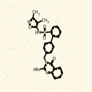 CCCCc1nc2ccccc2c(=O)n1Cc1ccc(-c2ccccc2S(=O)(=O)Nc2onc(C)c2C)cc1